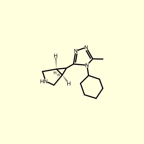 Cc1nnc(C2[C@H]3CNC[C@@H]23)n1C1CCCCC1